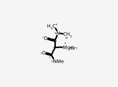 CNC(=O)[CH]([Mg][Br])C(=O)N(C)C